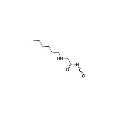 CCCCCCNCC(=O)N=C=O